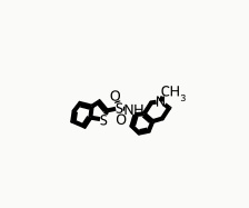 CN1CCc2cccc(NS(=O)(=O)c3cc4ccccc4s3)c2C1